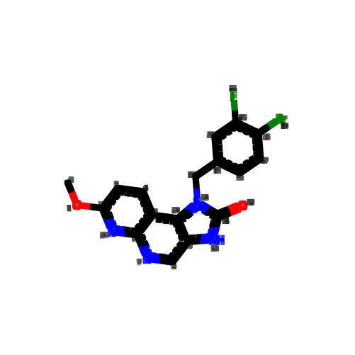 COc1ccc2c(ncc3[nH]c(=O)n(Cc4ccc(Br)c(F)c4)c32)n1